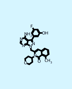 Cc1cccc2cc(Cn3nc(-c4cc(O)cc(F)c4)c4c(N)ncnc43)n(C3CCOCC3)c(=O)c12